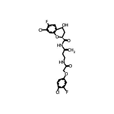 C=C(CCNC(=O)COc1ccc(Cl)c(F)c1)NC(=O)[C@@H]1C[C@H](O)c2cc(F)c(Cl)cc2O1